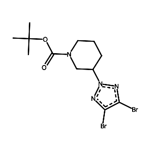 CC(C)(C)OC(=O)N1CCCC(n2nc(Br)c(Br)n2)C1